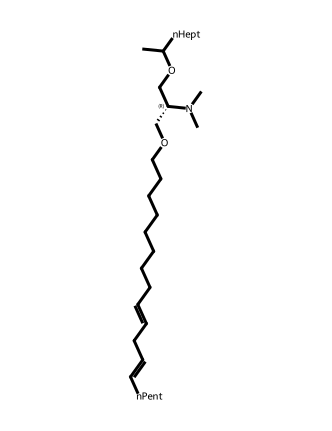 CCCCCC=CCC=CCCCCCCCCOC[C@H](COC(C)CCCCCCC)N(C)C